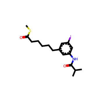 CSC(=O)CCCCCc1cc(I)cc(NC(=O)C(C)C)c1